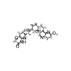 COc1ccc2ncc(Cl)c(/C=C\C34CCC(NCc5ccc6c(n5)NC(=O)CO6)(CC3)CC4)c2n1